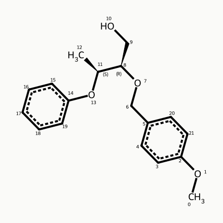 COc1ccc(CO[C@H](CO)[C@H](C)Oc2ccccc2)cc1